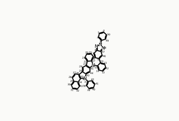 c1ccc(-n2nc3ccc(-c4ccccc4-n4c5ccccc5c5cc6c7ccc8ccccc8c7n(-c7ccccc7)c6cc54)cc3n2)cc1